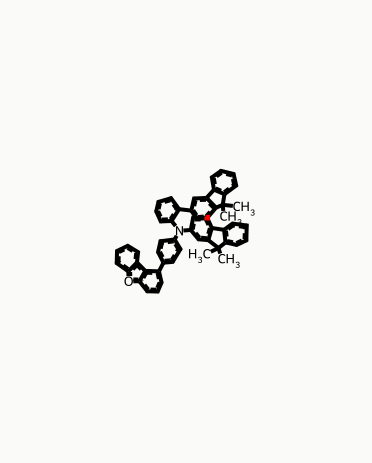 CC1(C)c2ccccc2-c2cc(-c3ccccc3N(c3ccc(-c4cccc5oc6ccccc6c45)cc3)c3ccc4c(c3)C(C)(C)c3ccccc3-4)ccc21